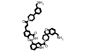 NCc1cccc(C2CCN(C(=O)C=Cc3ccc4c(c3)C(=O)NB(c3cccc5[nH]c(C(=O)N6CCC7(CC6)COc6ccc(CN)cc67)cc35)O4)CC2)c1